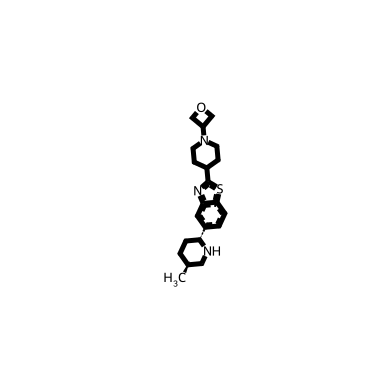 C[C@H]1CC[C@H](c2ccc3sc(C4CCN(C5COC5)CC4)nc3c2)NC1